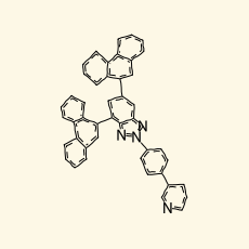 c1cncc(-c2ccc(-n3nc4cc(-c5cc6ccccc6c6ccccc56)cc(-c5cc6ccccc6c6ccccc56)c4n3)cc2)c1